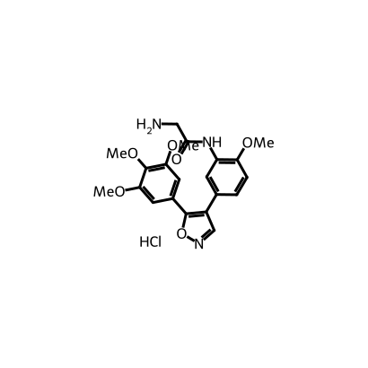 COc1ccc(-c2cnoc2-c2cc(OC)c(OC)c(OC)c2)cc1NC(=O)CN.Cl